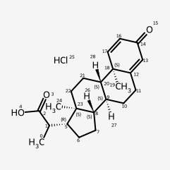 CC(C(=O)O)[C@H]1CC[C@H]2[C@@H]3CCC4=CC(=O)C=C[C@]4(C)[C@H]3CC[C@]12C.Cl